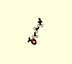 CCC(C)(C)C(=O)OCC(=O)OCC(=O)OC1C2CCC(C2)C1C(C)C